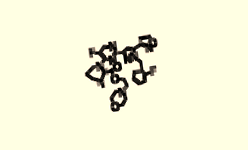 C[C@H]1CCCN(c2nc(-c3cc(-c4ccon4)n(Cc4ccccc4F)n3)ncc2F)[C@H]1C(=O)OCCN1CCOCC1